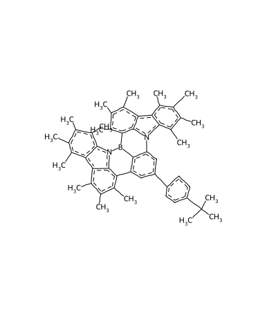 Cc1c(C)c(C)c2c(c1C)c1c(C)c(C)c(C)c3c1n2B1c2c-3cc(-c3ccc(C(C)(C)C)cc3)cc2-n2c3c(C)c(C)c(C)c(C)c3c3c(C)c(C)c(C)c1c32